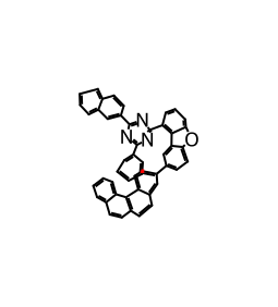 c1ccc(-c2nc(-c3ccc4ccccc4c3)nc(-c3cccc4oc5ccc(-c6ccc7c(ccc8ccc9ccccc9c87)c6)cc5c34)n2)cc1